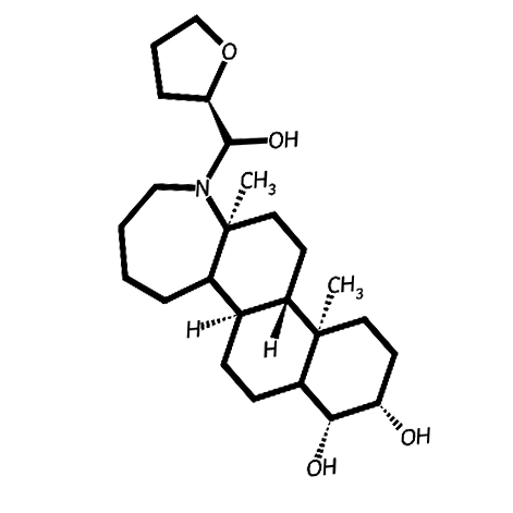 C[C@]12CC[C@H](O)[C@H](O)C1CC[C@H]1C3CCCCN(C(O)[C@H]4CCCO4)[C@@]3(C)CC[C@@H]12